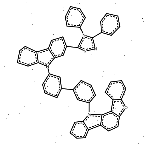 c1ccc(-c2nnc(-c3ccc4c5ccccc5n(-c5cccc(-c6cccc(-n7c8ccccc8c8ccc9oc%10ccccc%10c9c87)c6)c5)c4c3)n2-c2ccccc2)cc1